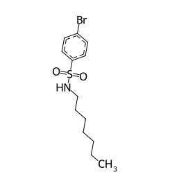 CCCCCCCNS(=O)(=O)c1ccc(Br)cc1